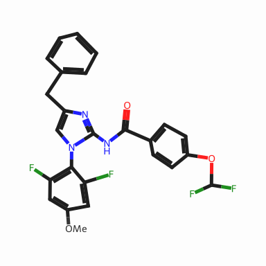 COc1cc(F)c(-n2cc(Cc3ccccc3)nc2NC(=O)c2ccc(OC(F)F)cc2)c(F)c1